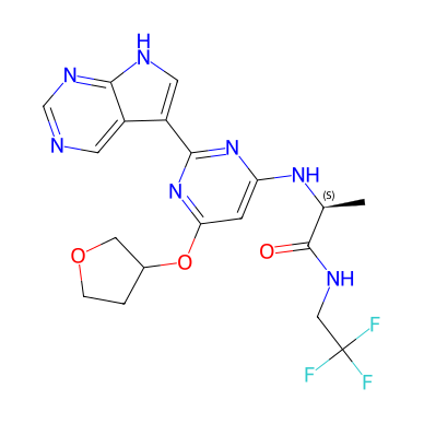 C[C@H](Nc1cc(OC2CCOC2)nc(-c2c[nH]c3ncncc23)n1)C(=O)NCC(F)(F)F